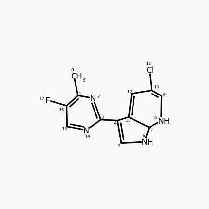 Cc1nc(C2=CNC3NC=C(Cl)C=C23)ncc1F